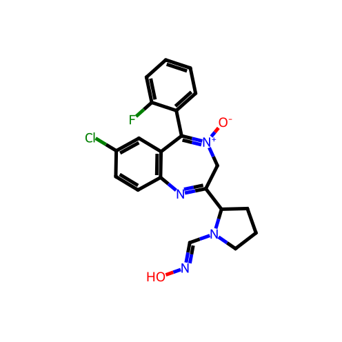 [O-][N+]1=C(c2ccccc2F)c2cc(Cl)ccc2N=C(C2CCCN2C=NO)C1